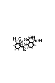 COc1ccccc1C(=O)Nc1cccc(C(=O)O)c1C(=O)O